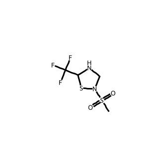 CS(=O)(=O)N1CNC(C(F)(F)F)S1